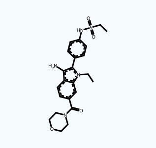 CCn1c(-c2ccc(NS(=O)(=O)CC)cc2)c(N)c2ccc(C(=O)N3CCOCC3)cc21